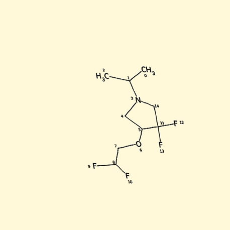 CC(C)N1CC(OCC(F)F)C(F)(F)C1